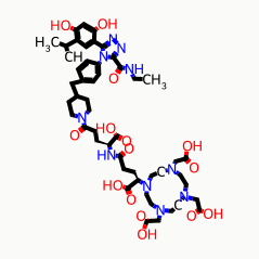 CCNC(=O)c1nnc(-c2cc(C(C)C)c(O)cc2O)n1-c1ccc(CC2CCN(C(=O)CC[C@H](NC(=O)CC[C@H](C(=O)O)N3CCN(CC(=O)O)CCN(CC(=O)O)CCN(CC(=O)O)CC3)C(=O)O)CC2)cc1